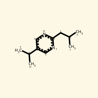 CC(C)Cc1ncc(C(C)C)cn1